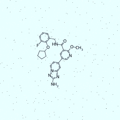 COc1ncc(-c2ccn3nc(N)nc3c2)cc1C(=O)NCc1cccc(F)c1OC1CCCC1